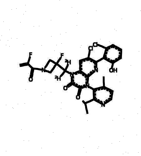 [2H]C([2H])(n1c(=O)c(=O)n(-c2c(C)ccnc2C(C)C)c2nc(-c3c(O)cccc3Cl)c(Cl)cc21)C1(F)CN(C(=O)C(=C)F)C1